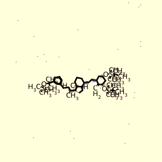 C=C1/C(=C\C=C2/CCC[C@]3(C)[C@@H]([C@@H](C)CCc4cccc(C(C)(C)O[Si](C)(C)C)c4)CC[C@@H]23)C[C@@H](O[Si](C)(C)C(C)(C)C)C[C@@H]1O[Si](C)(C)C(C)(C)C